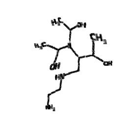 CC(O)C(CNCCN)N(C(C)O)C(C)O